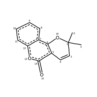 CC1(C)C=Cc2c(c3ccccc3oc2=O)O1